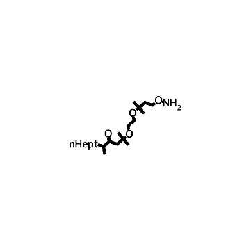 CCCCCCCC(C)C(=O)CC(C)(C)OCCOC(C)(C)CCON